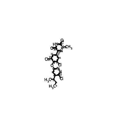 CCC(C)c1cc(Oc2c(Cl)cc(-c3nn(C)c(=O)[nH]c3=O)cc2Cl)nnc1Cl